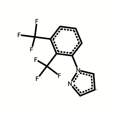 FC(F)(F)c1cccc(-n2c[c]cn2)c1C(F)(F)F